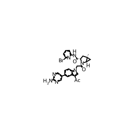 CC(=O)c1cn(CC(=O)N2[C@H](C(=O)Nc3cccc(Br)n3)C[C@@]3(C)C[C@@H]23)c2ccc(-c3cnc(N)nc3)cc12